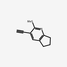 C#Cc1cc2c(nc1SC)CCC2